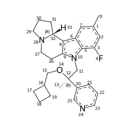 Cc1cc(F)c2c(c1)c1c(n2C[C@](C)(OCC2CCC2)c2cccnc2)CCN2CCC[C@H]12